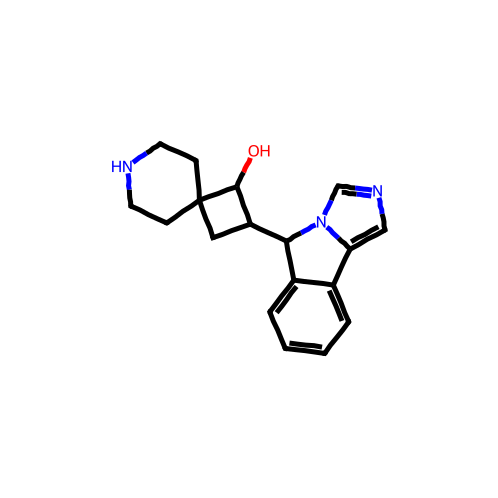 OC1C(C2c3ccccc3-c3cncn32)CC12CCNCC2